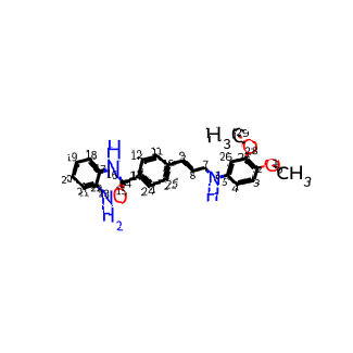 COc1ccc(NCC=Cc2ccc(C(=O)Nc3ccccc3N)cc2)cc1OC